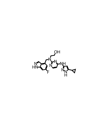 OCCN(Cc1cc(F)cc2[nH]ncc12)c1nccc(Nc2cc(C3CC3)[nH]n2)n1